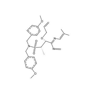 C=CCO[C@H](/C(N=C)=N/C=C(C)C)[C@H](C)S(=O)(=O)N(Cc1ccc(OC)cc1)Cc1ccc(OC)cc1